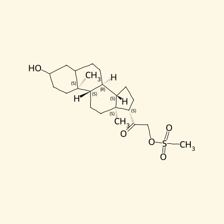 C[C@]12CC[C@H]3[C@@H](CCC4CC(O)CC[C@@]43C)[C@@H]1CC[C@@H]2C(=O)COS(C)(=O)=O